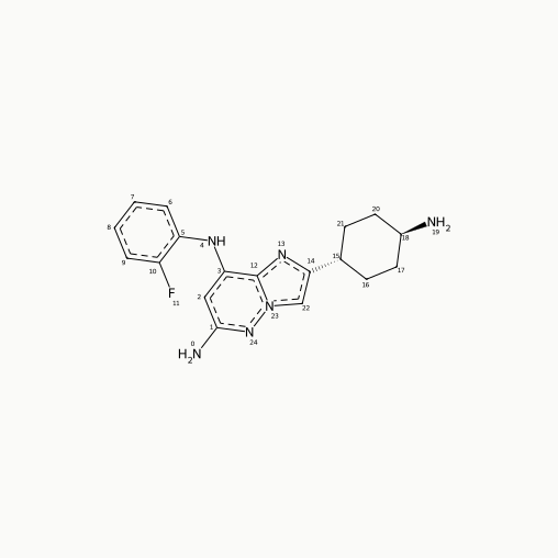 Nc1cc(Nc2ccccc2F)c2nc([C@H]3CC[C@H](N)CC3)cn2n1